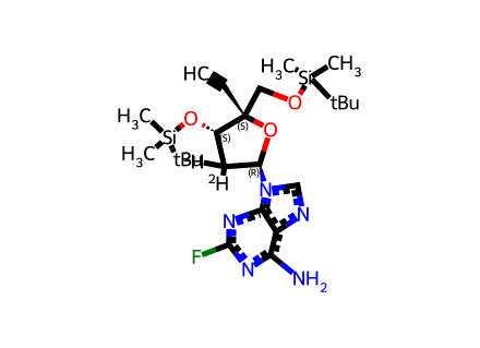 [2H]C1([2H])[C@H](n2cnc3c(N)nc(F)nc32)O[C@@](C#C)(CO[Si](C)(C)C(C)(C)C)[C@H]1O[Si](C)(C)C(C)(C)C